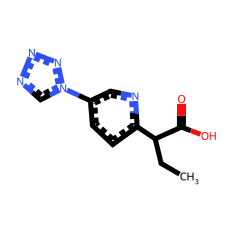 CCC(C(=O)O)c1ccc(-n2cnnn2)cn1